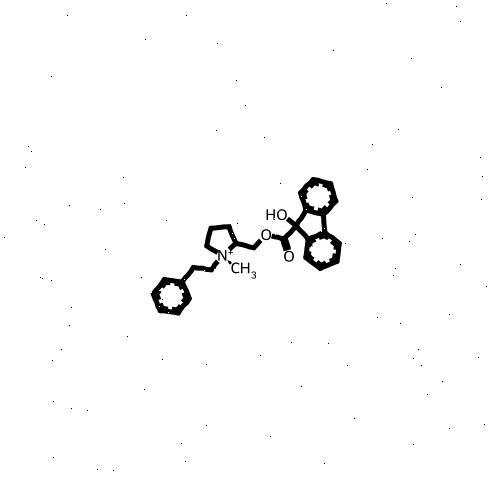 C[N@+]1(CCc2ccccc2)CCCC1COC(=O)C1(O)c2ccccc2-c2ccccc21